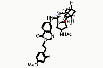 COc1ccc(CCn2cnc3cc(N/C(=N/C4C[C@@H]5C[C@H](C4C)C5(C)C)N4CCC(NC(C)=O)C4)ccc3c2=O)c(F)c1